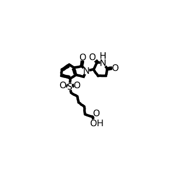 O=C(O)CCCCCS(=O)(=O)c1cccc2c1CN(C1CCC(=O)NC1=O)C2=O